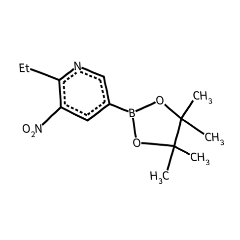 CCc1ncc(B2OC(C)(C)C(C)(C)O2)cc1[N+](=O)[O-]